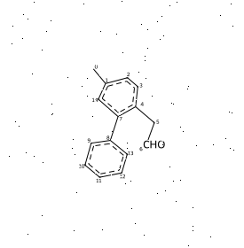 Cc1ccc(CC=O)c(-c2ccccc2)c1